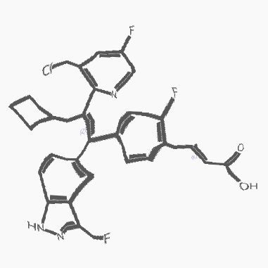 O=C(O)/C=C/c1ccc(/C(=C(\c2ncc(F)cc2Cl)C2CCC2)c2ccc3[nH]nc(F)c3c2)cc1F